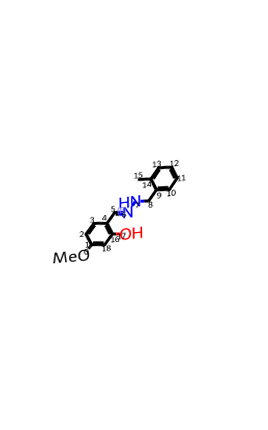 COc1ccc(/C=N/NCc2ccccc2C)c(O)c1